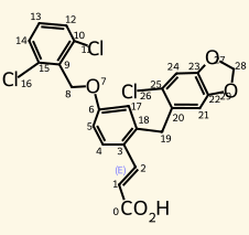 O=C(O)/C=C/c1ccc(OCc2c(Cl)cccc2Cl)cc1Cc1cc2c(cc1Cl)OCO2